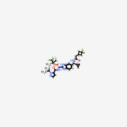 CC(C)n1nccc1C(=O)N[C@H](COC(C)(CF)C(F)F)c1nc2ccc([C@H](NC(=O)CC3CC(F)(F)C3)C3CC3)cc2[nH]1